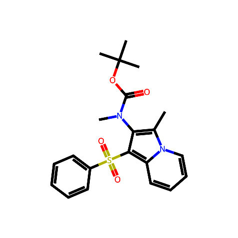 Cc1c(N(C)C(=O)OC(C)(C)C)c(S(=O)(=O)c2ccccc2)c2ccccn12